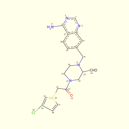 Nc1ncnc2cc(CN3CCN(C(=O)C[SH]4C=CC(Cl)=C4)CC3C=O)ccc12